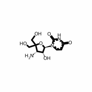 N[C@H]1[C@@H](O)[C@H](n2ccc(=O)[nH]c2=O)OC1(CO)CO